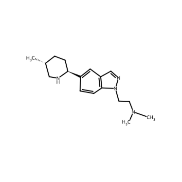 C[C@@H]1CC[C@@H](c2ccc3c(cnn3CCN(C)C)c2)NC1